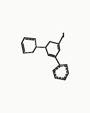 IC1=CC(c2ccccc2)=CC(C2C=CC=CC2)C1